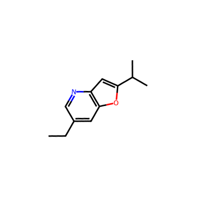 CCc1cnc2cc(C(C)C)oc2c1